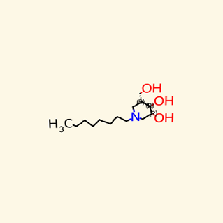 CCCCCCCCN1C[C@H](CO)[C@@H](O)[C@H](O)C1